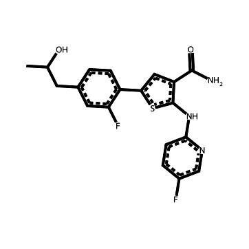 CC(O)Cc1ccc(-c2cc(C(N)=O)c(Nc3ccc(F)cn3)s2)c(F)c1